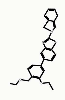 CCOCc1ccc(-c2ccc3oc(N4C=C5CC=CC=C5C4)nc3c2)cc1OCC